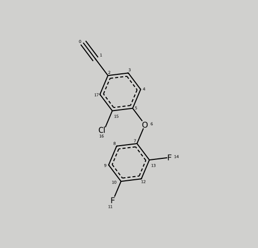 C#Cc1ccc(Oc2ccc(F)cc2F)c(Cl)c1